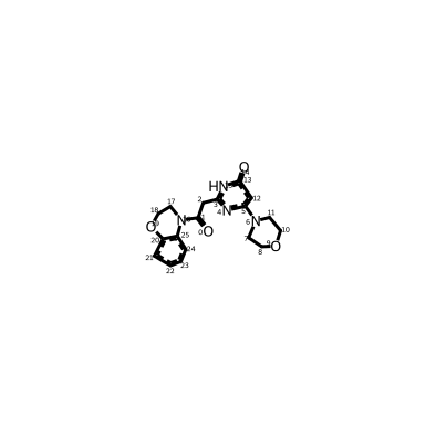 O=C(Cc1nc(N2CCOCC2)cc(=O)[nH]1)N1CCOc2ccccc21